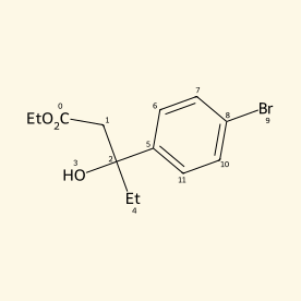 CCOC(=O)CC(O)(CC)c1ccc(Br)cc1